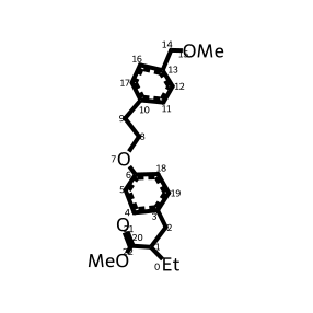 CCC(Cc1ccc(OCCc2ccc(COC)cc2)cc1)C(=O)OC